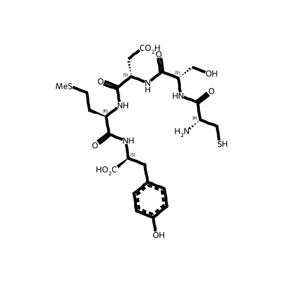 CSCC[C@@H](NC(=O)[C@H](CC(=O)O)NC(=O)[C@H](CO)NC(=O)[C@@H](N)CS)C(=O)N[C@@H](Cc1ccc(O)cc1)C(=O)O